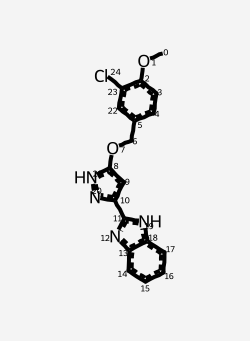 COc1ccc(COc2cc(-c3nc4ccccc4[nH]3)n[nH]2)cc1Cl